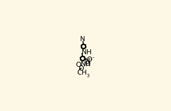 CCOC(=O)Nc1ccc(CNc2ccc(C#N)cc2)cc1[N+](=O)[O-]